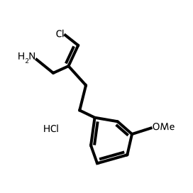 COc1cccc(CCC(=CCl)CN)c1.Cl